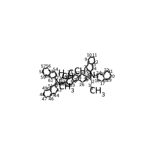 CCCC1(N(c2ccc3ccccc3c2)c2ccc3ccccc3c2)c2cc3c(cc21)C(C)(C)c1cc(C(C)(CC)N(c2ccc4ccccc4c2)c2ccc4ccccc4c2)ccc1-3